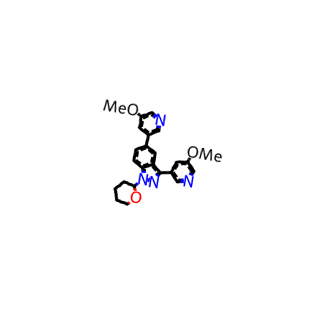 COc1cncc(-c2ccc3c(c2)c(-c2cncc(OC)c2)nn3C2CCCCO2)c1